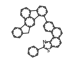 c1ccc(-c2nc3c(ccc4ccc5cc(-c6cccc7c6-c6cc8c(c9cccc-7c69)-c6ccccc6C8)ccc5c43)s2)cc1